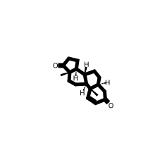 C[C@]12C=CC(=O)C[C@@H]1CC[C@@H]1[C@@H]2CC[C@]2(C)C(=O)CC[C@@H]12